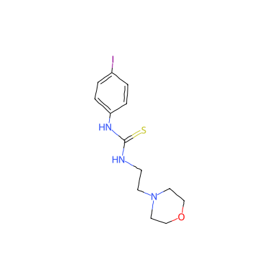 S=C(NCCN1CCOCC1)Nc1ccc(I)cc1